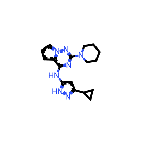 [CH]1CCN(c2nc(Nc3cc(C4CC4)n[nH]3)c3cccn3n2)CC1